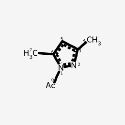 CC(=O)n1nc(C)cc1C